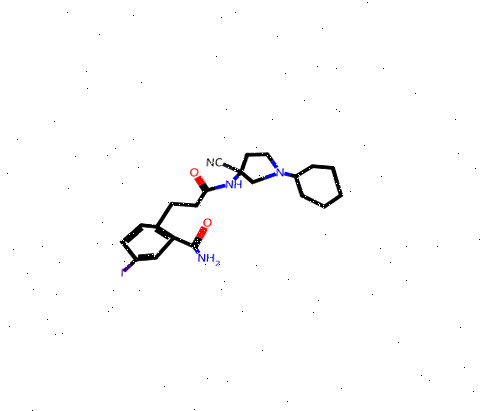 N#CC1(NC(=O)[CH]Cc2ccc(I)cc2C(N)=O)CCN(C2CCCCC2)C1